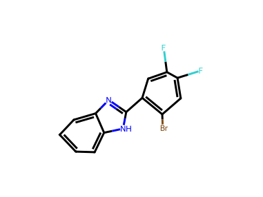 Fc1cc(Br)c(-c2nc3ccccc3[nH]2)cc1F